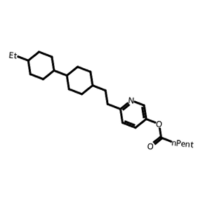 CCCCCC(=O)Oc1ccc(CCC2CCC(C3CCC(CC)CC3)CC2)nc1